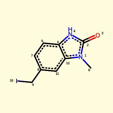 Cn1c(=O)[nH]c2ccc(CI)cc21